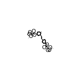 C[C@@H]1CCOC(C(=O)Oc2ccc(/C=C/c3c[c]cc(OC(=O)C4OCC[C@@H](C)O4)c3)cc2)O1